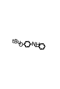 CC(C)(C)Oc1ccc(NCc2ccccc2)cc1